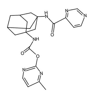 Cc1ccnc(OC(=O)NC23CC4CC(C2)CC(NC(=O)c2ccncn2)(C4)C3)n1